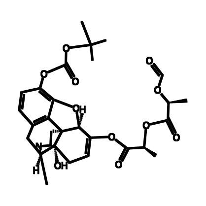 C[C@H](OC=O)C(=O)O[C@@H](C)C(=O)OC1=CC[C@@]2(O)[C@H]3Cc4ccc(OC(=O)OC(C)(C)C)c5c4[C@@]2(CCN3C)[C@H]1O5